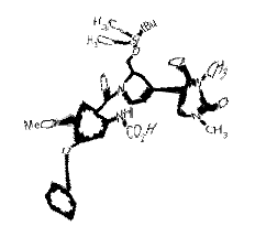 COc1cc(C(=O)N2CC=C(c3cn(C)c(=O)n(C)c3=O)CC2CO[Si](C)(C)C(C)(C)C)c(NC(=O)O)cc1OCc1ccccc1